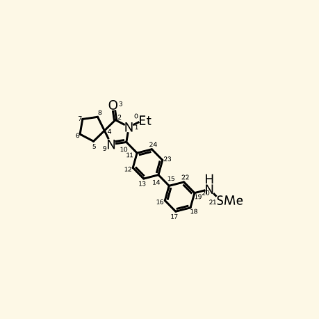 CCN1C(=O)C2(CCCC2)N=C1c1ccc(-c2cccc(NSC)c2)cc1